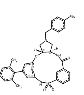 Cc1cccc(C)c1-c1cc2nc(n1)NS(=O)(=O)c1cccc(c1)C(=O)N[C@@H]1CN(Cc3ccc(C(C)(C)C)cc3)C[C@H]1O2